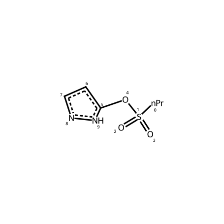 CCCS(=O)(=O)Oc1ccn[nH]1